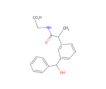 CC(C(=O)NCC(=O)O)c1cccc(C(O)c2ccccc2)c1